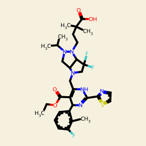 CCOC(=O)C1=C(CN2CC(F)(F)C3C2CN(C(C)C)N3CCC(C)(C)C(=O)O)NC(c2nccs2)=NC1c1cccc(F)c1C